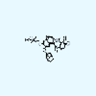 CN1C2CCC1CC(Oc1cc3c(Nc4ccc(Cl)c(Cl)c4F)ncnc3cc1OCCC(C)(C)O)C2